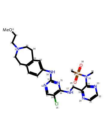 COCCN1CCc2ccc(Nc3ncc(Cl)c(NCc4nccnc4N(C)S(C)(=O)=O)n3)cc2CC1